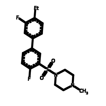 CCc1ccc(-c2ccc(F)c(S(=O)(=O)N3CCN(C)CC3)c2)cc1F